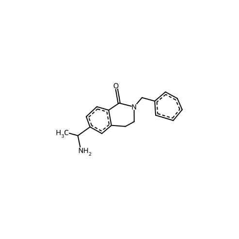 CC(N)c1ccc2c(c1)CCN(Cc1ccccc1)C2=O